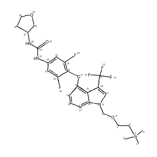 C[Si](C)(C)CCOCn1cc(C(F)(F)F)c2c(Oc3c(F)cc(NC(=O)NC4CCOC4)cc3F)ccnc21